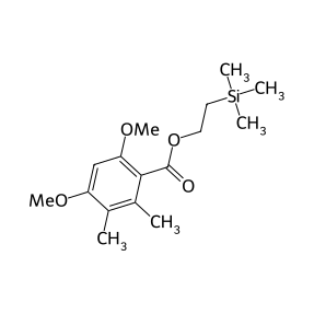 COc1cc(OC)c(C(=O)OCC[Si](C)(C)C)c(C)c1C